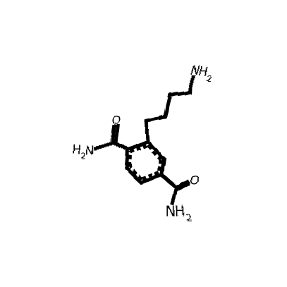 NCCCCc1cc(C(N)=O)ccc1C(N)=O